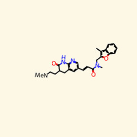 CNCCC1Cc2cc(/C=C/C(=O)N(C)Cc3oc4ccccc4c3C)cnc2NC1=O